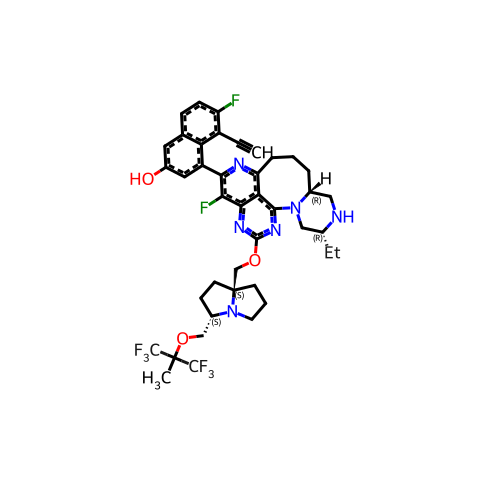 C#Cc1c(F)ccc2cc(O)cc(-c3nc4c5c(nc(OC[C@@]67CCCN6[C@H](COC(C)(C(F)(F)F)C(F)(F)F)CC7)nc5c3F)N3C[C@@H](CC)NC[C@H]3CCC4)c12